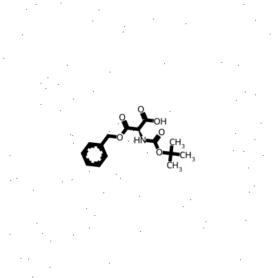 CC(C)(C)OC(=O)N[C@H](C(=O)O)C(=O)OCc1ccccc1